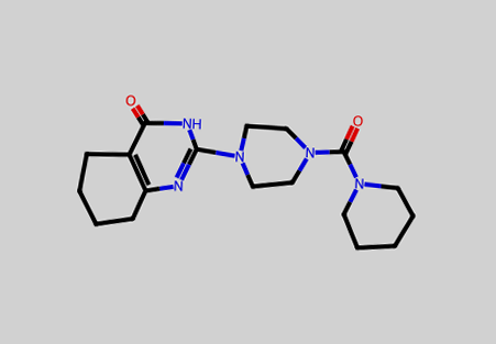 O=C(N1CCCCC1)N1CCN(c2nc3c(c(=O)[nH]2)CCCC3)CC1